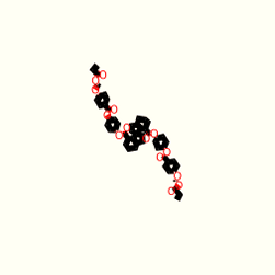 C=CC(=O)OCOc1ccc(C(=O)Oc2ccc(OC(=O)c3cccc4c3C3(CC4)CCc4cccc(C(=O)Oc5ccc(OC(=O)c6ccc(OCOC(=O)C=C)cc6)cc5)c43)cc2)cc1